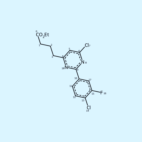 CCOC(=O)CCCc1cc(Cl)nc(-c2ccc(Cl)c(F)c2)n1